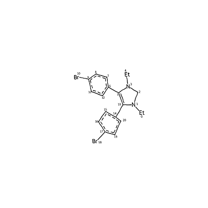 CCN1CN(CC)C(c2ccc(Br)cc2)=C1c1ccc(Br)cc1